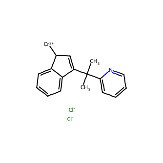 CC(C)(C1=C[CH]([Cr+2])c2ccccc21)c1ccccn1.[Cl-].[Cl-]